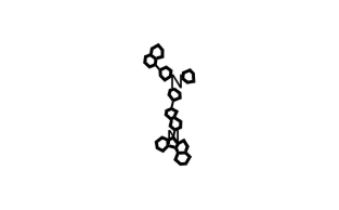 c1ccc(N(c2ccc(-c3ccc4cc(-n5c6ccccc6c6c7ccccc7ccc65)ccc4c3)cc2)c2ccc(-c3cccc4ccccc34)cc2)cc1